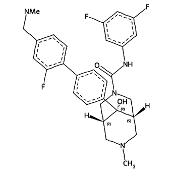 CNCc1ccc(-c2ccc([C@]3(O)[C@@H]4CN(C)C[C@H]3CN(C(=O)Nc3cc(F)cc(F)c3)C4)cc2)c(F)c1